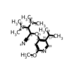 COc1cc(OC(C#N)C(N(C)C)N(C)C)c(C(C)C)cn1